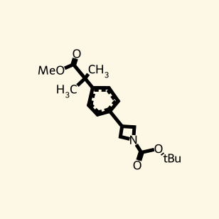 COC(=O)C(C)(C)c1ccc(C2CN(C(=O)OC(C)(C)C)C2)cc1